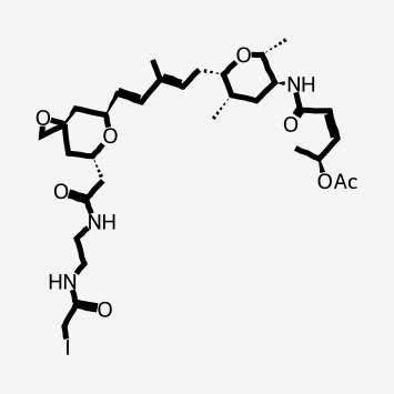 CC(=O)O[C@@H](C)/C=C\C(=O)N[C@@H]1C[C@H](C)[C@H](C/C=C(C)/C=C/[C@@H]2C[C@]3(CO3)C[C@@H](CC(=O)NCCNC(=O)CI)O2)O[C@@H]1C